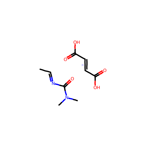 CC=NC(=O)N(C)C.O=C(O)/C=C/C(=O)O